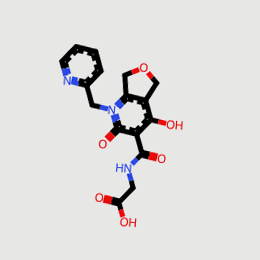 O=C(O)CNC(=O)c1c(O)c2c(n(Cc3ccccn3)c1=O)COC2